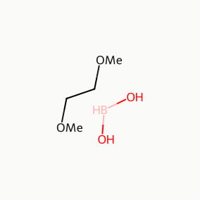 COCCOC.OBO